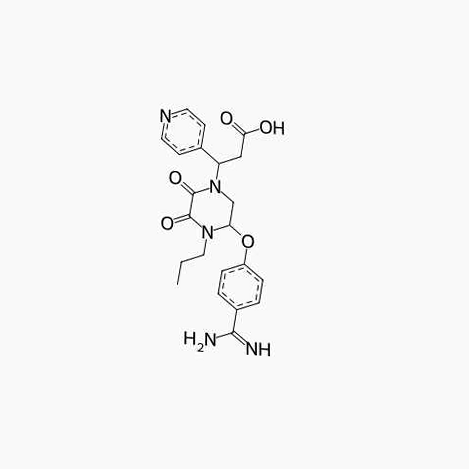 CCCN1C(=O)C(=O)N(C(CC(=O)O)c2ccncc2)CC1Oc1ccc(C(=N)N)cc1